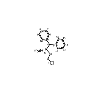 ClCCCC(c1ccccc1)c1ccccc1.[SiH4]